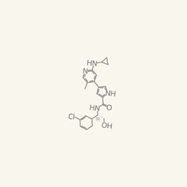 Cc1cnc(NC2CC2)cc1-c1c[nH]c(C(=O)N[C@H](CO)C2C=C(Cl)C=CC2)c1